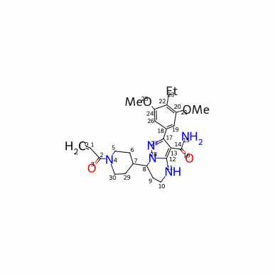 C=CC(=O)N1CCC(C2CCNc3c(C(N)=O)c(-c4cc(OC)c(CC)c(OC)c4)nn32)CC1